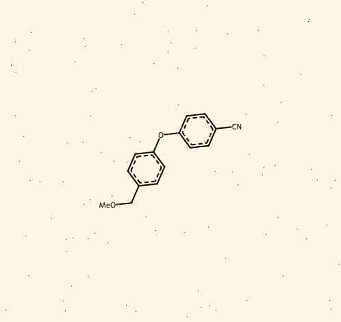 COCc1ccc(Oc2ccc(C#N)cc2)cc1